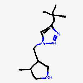 CC1CNCC1Cn1cc(C(C)(C)C)nn1